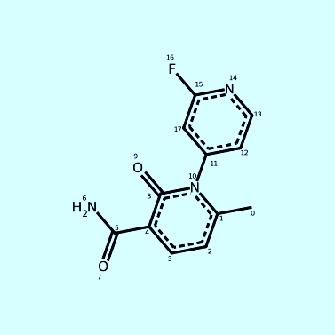 Cc1ccc(C(N)=O)c(=O)n1-c1ccnc(F)c1